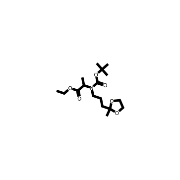 CCOC(=O)C(C)N(CCCC1(C)OCCO1)C(=O)OC(C)(C)C